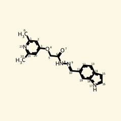 Cc1cc(OCC(=O)N/N=C/c2ccc3cc[nH]c3c2)cc(C)n1